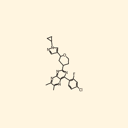 Cc1nc2nc(C3CCOC(c4cnn(C5CC5)c4)C3)nc(-c3ccc(Cl)cc3F)c2nc1C